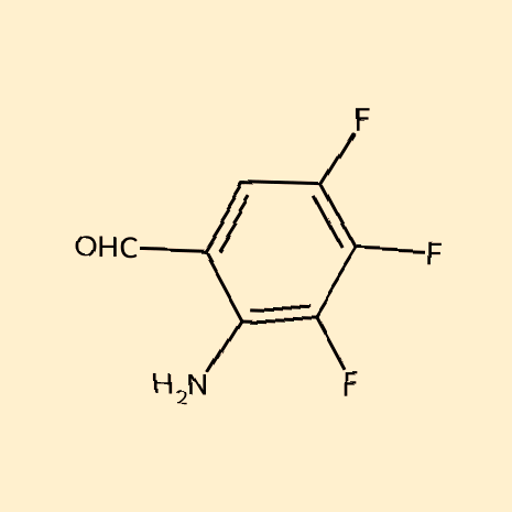 Nc1c(C=O)cc(F)c(F)c1F